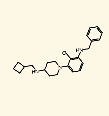 Clc1c(NCc2ccccc2)cccc1N1CCC(NCC2CCC2)CC1